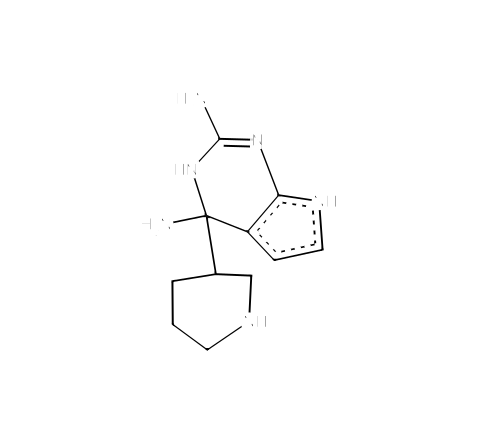 NC1=Nc2[nH]ccc2C(N)(C2CCCNC2)N1